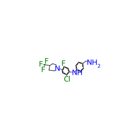 NCc1ccc(Nc2cc(F)c(N3CCC(C(F)(F)F)CC3)cc2Cl)cc1